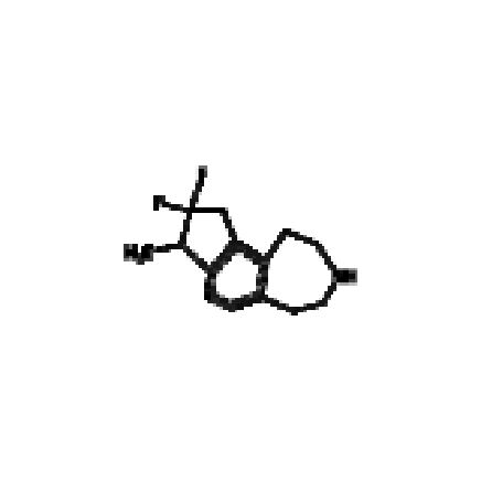 CC1c2ccc3c(c2CC1(F)F)CCNCC3